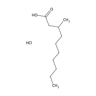 CCCCCCCC(C)CC(=O)O.Cl